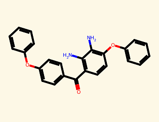 Nc1c(Oc2ccccc2)ccc(C(=O)c2ccc(Oc3ccccc3)cc2)c1N